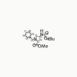 COC(=O)C1CC(NC(=O)OC(C)(C)C)CN1Cc1ccccc1